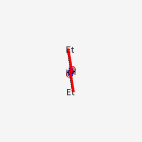 CCC=CCC=CCC=CCC=CCC=CCC=CCCC(=O)N1C[C@@H]2C[C@H]1CN2C(=O)CCCC=CCC=CCC=CCC=CCC=CCC